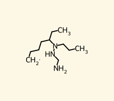 [CH2]CCCC(CC)N(CCC)NCN